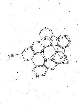 N#Cc1ccc(N2c3ccccc3C3(c4ccccc4-c4ccccc43)c3ccccc32)c(-c2cnccc2N2c3ccccc3C3(c4ccccc4-c4ccccc43)c3ccccc32)c1